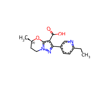 CCc1ccc(-c2nn3c(c2C(=O)O)O[C@H](C)CC3)cn1